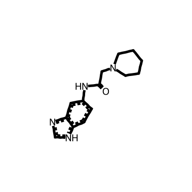 O=C(CN1CCCCC1)Nc1ccc2[nH]cnc2c1